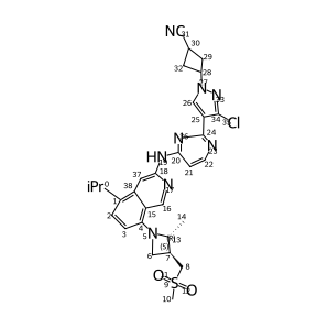 CC(C)c1ccc(N2C[C@H](CS(C)(=O)=O)[C@H]2C)c2cnc(Nc3ccnc(-c4cn(C5CC(C#N)C5)nc4Cl)n3)cc12